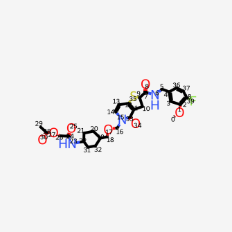 COc1cc(CNC(=O)C2Cc3c(ccn(COCC4CCC(NC(=O)COC(C)=O)CC4)c3=O)S2)ccc1F